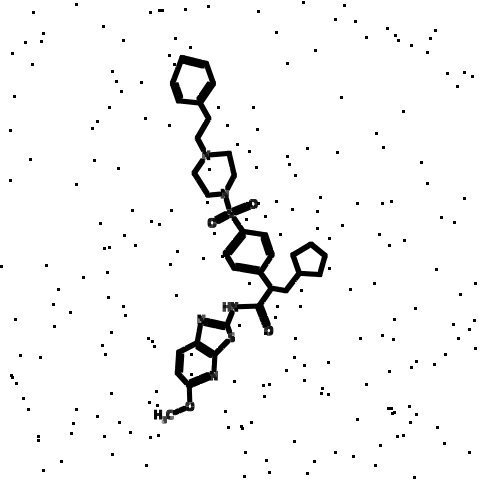 COc1ccc2nc(NC(=O)C(CC3CCCC3)c3ccc(S(=O)(=O)N4CCN(CCc5ccccc5)CC4)cc3)sc2n1